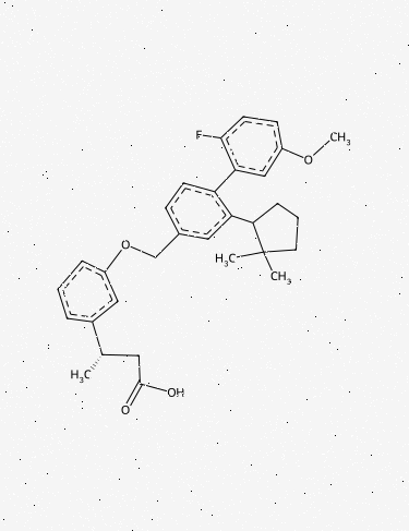 COc1ccc(F)c(-c2ccc(COc3cccc([C@@H](C)CC(=O)O)c3)cc2C2CCCC2(C)C)c1